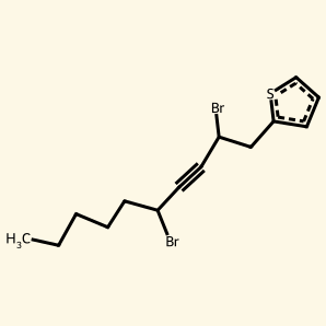 CCCCCC(Br)C#CC(Br)Cc1cccs1